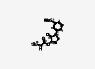 CSc1cccc(N2CSC(OC(=O)NC(C)(C)C)C2=O)c1